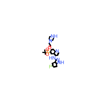 CC(C)(C)S(=O)(=O)c1cc2c(Nc3n[nH]c4ccc(F)cc34)ccnc2cc1OCCN1CCNCC1